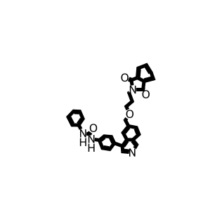 O=C(Nc1ccccc1)Nc1ccc(-c2cncc3ccc(COCCCN4C(=O)c5ccccc5C4=O)cc23)cc1